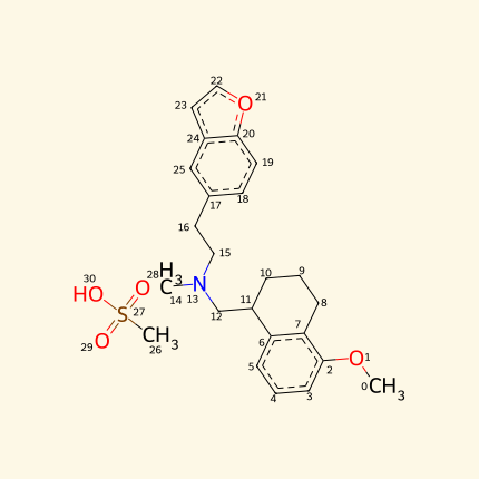 COc1cccc2c1CCCC2CN(C)CCc1ccc2occc2c1.CS(=O)(=O)O